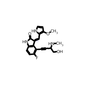 CNC(C#Cc1c(F)ccc2c1/C(=C/c1[nH]ccc1OC)C(=O)N2)CO